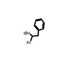 CC(=O)C(Cc1ccccc1)C(C)(C)C